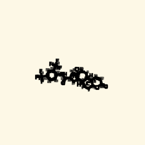 C[C@]12CC[C@@H]3[C@@H](CCC4OC(=O)C=C[C@@]43C)[C@@H]1CC(C(=O)Nc1ccc(C(F)(F)F)cc1C(F)(F)F)C2